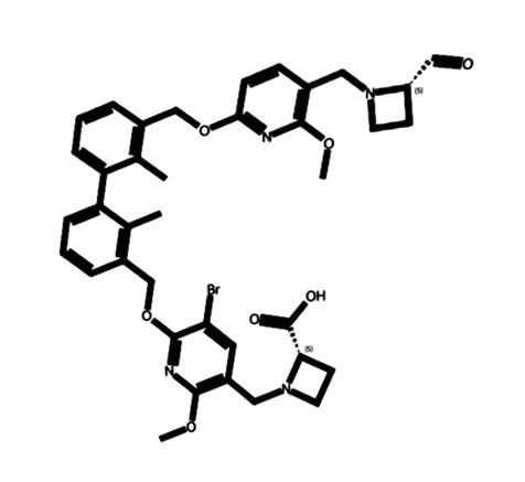 COc1nc(OCc2cccc(-c3cccc(COc4nc(OC)c(CN5CC[C@H]5C(=O)O)cc4Br)c3C)c2C)ccc1CN1CC[C@H]1C=O